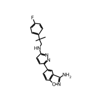 CC(C)(CNc1ccc(-c2ccc3onc(N)c3c2)nn1)c1ccc(F)cc1